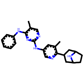 Cc1cnc(Nc2cnc(C3CC4CCC(C3)N4)c(C)c2)nc1Nc1ccccc1